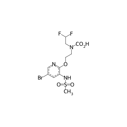 CS(=O)(=O)Nc1cc(Br)cnc1OCCN(CC(F)F)C(=O)O